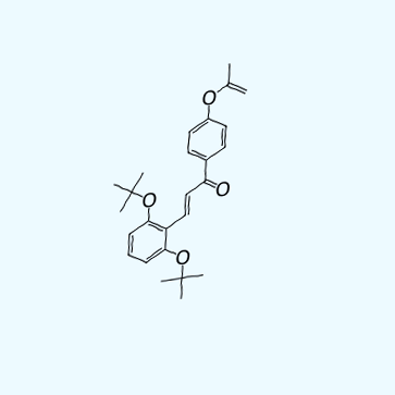 C=C(C)Oc1ccc(C(=O)C=Cc2c(OC(C)(C)C)cccc2OC(C)(C)C)cc1